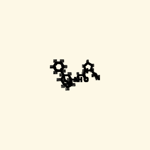 N#C[C@@H]1CCCN1C(=O)CNC12CC3CC1CC(c1ccccc1)(C3)C2